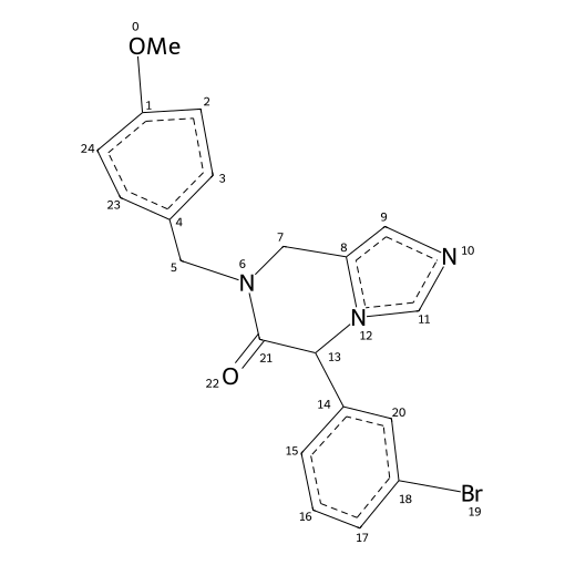 COc1ccc(CN2Cc3cncn3C(c3cccc(Br)c3)C2=O)cc1